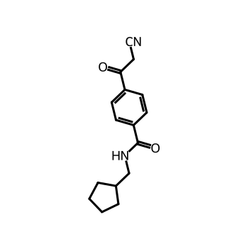 N#CCC(=O)c1ccc(C(=O)NCC2CCCC2)cc1